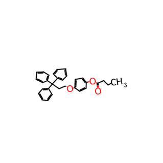 CCCC(=O)Oc1ccc(OCCC(c2ccccc2)(c2ccccc2)c2ccccc2)cc1